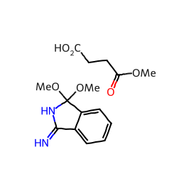 COC(=O)CCC(=O)O.COC1(OC)NC(=N)c2ccccc21